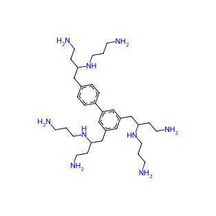 NCCCNC(CCN)Cc1ccc(-c2cc(CC(CCN)NCCCN)cc(CC(CCN)NCCCN)c2)cc1